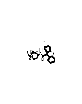 CCCCCCCCCCC[N+]1(C)CCC(NC(=O)C2c3ccccc3Oc3ccccc32)CC1.[I-]